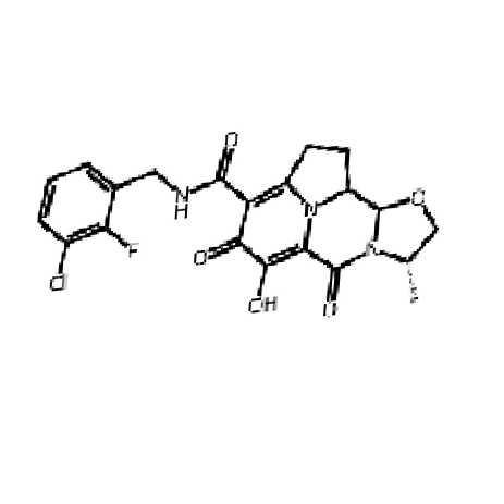 C[C@H]1COC2C3CCc4c(C(=O)NCc5cccc(Cl)c5F)c(=O)c(O)c(n43)C(=O)N21